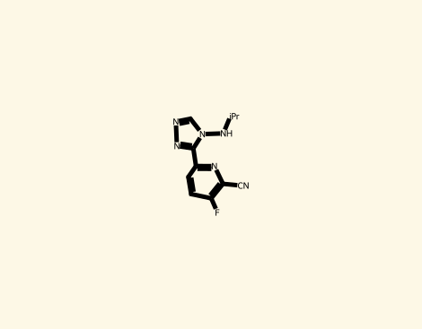 CC(C)Nn1cnnc1-c1ccc(F)c(C#N)n1